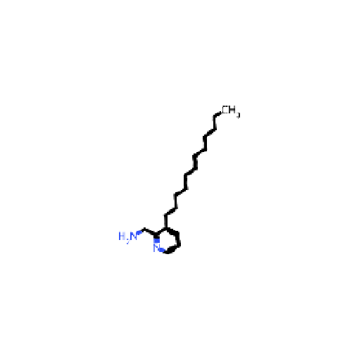 CCCCCCCCCCCCc1cccnc1CN